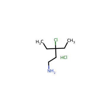 CCC(Cl)(CC)CCN.Cl